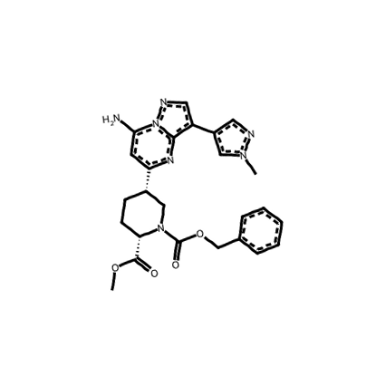 COC(=O)[C@@H]1CC[C@H](c2cc(N)n3ncc(-c4cnn(C)c4)c3n2)CN1C(=O)OCc1ccccc1